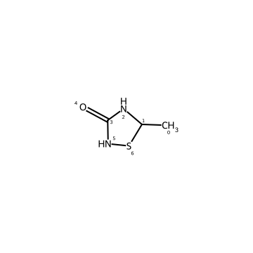 CC1NC(=O)NS1